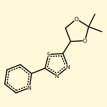 CC1(C)OCC(c2nnc(-c3ccccn3)s2)O1